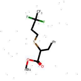 CCCCOC(=O)C(CC(C)C)SCCC(F)(F)C(F)(F)F